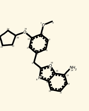 COc1ccc(Cc2nc3cccc(N)c3o2)cc1OC1CCCC1